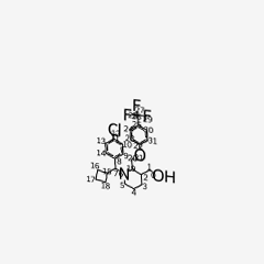 OCC1CCCN(C(c2ccc(Cl)cc2)C2CCC2)C1COc1ccc(C(F)(F)F)cc1